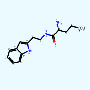 N[C@@H](CCC(=O)O)C(=O)NCCc1cc2ccccc2[nH]1